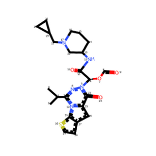 CC(C)c1nn([C@H](OC=O)C(=O)NC2CCCN(CC3CC3)C2)c(=O)c2cc3ccsc3n12